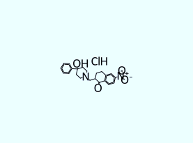 Cl.O=C1c2ccc([N+](=O)[O-])cc2CCC1CN1CCC(O)(c2ccccc2)CC1